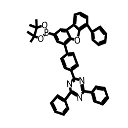 CC1(C)OB(c2cc(-c3ccc(-c4nc(-c5ccccc5)nc(-c5ccccc5)n4)cc3)c3oc4c(-c5ccccc5)cccc4c3c2)OC1(C)C